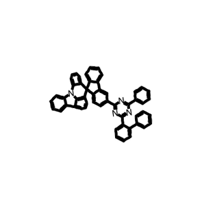 c1ccc(-c2nc(-c3ccc4c(c3)-c3ccccc3C43c4ccccc4-n4c5ccccc5c5cccc3c54)nc(-c3ccccc3-c3ccccc3)n2)cc1